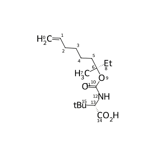 C=CCCCC[C@@](C)(CC)OC(=O)N[C@H](C(=O)O)C(C)(C)C